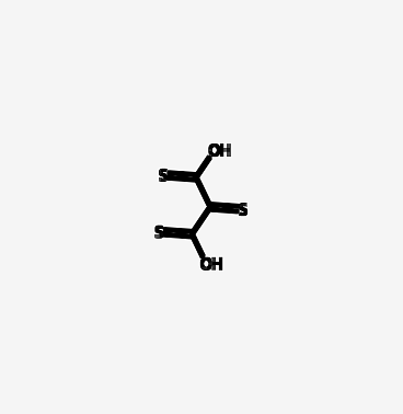 OC(=S)C(=S)C(O)=S